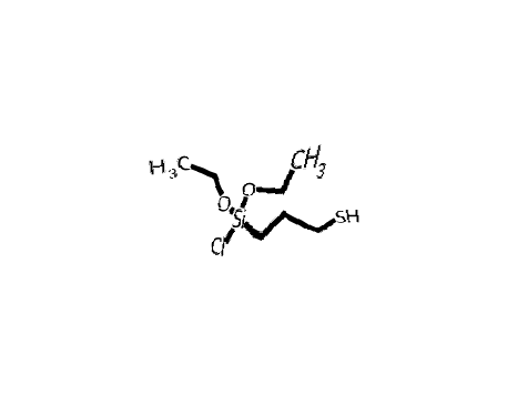 CCO[Si](Cl)(CCCS)OCC